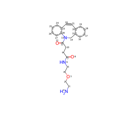 NCCOCCNC(=O)CCC(=O)N1Cc2ccccc2C#Cc2ccccc21